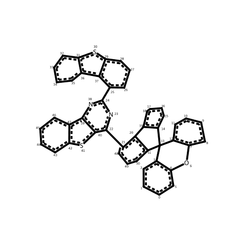 c1ccc2c(c1)Oc1ccccc1C21c2ccccc2-c2c(-c3nc(-c4cccc5sc6ccccc6c45)nc4c3sc3ccccc34)cccc21